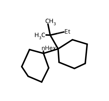 CCCCCCC1(C2(C(C)(C)CC)CCCCC2)CCCCC1